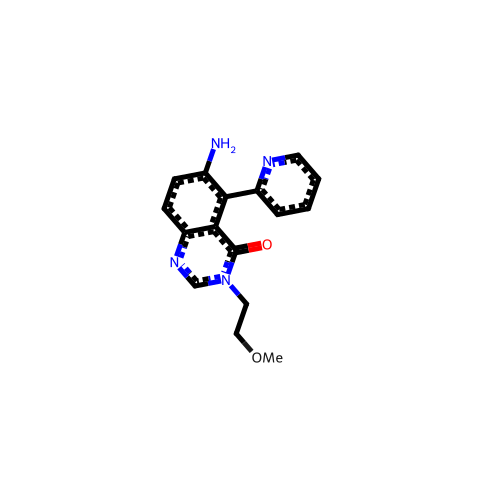 COCCn1cnc2ccc(N)c(-c3ccccn3)c2c1=O